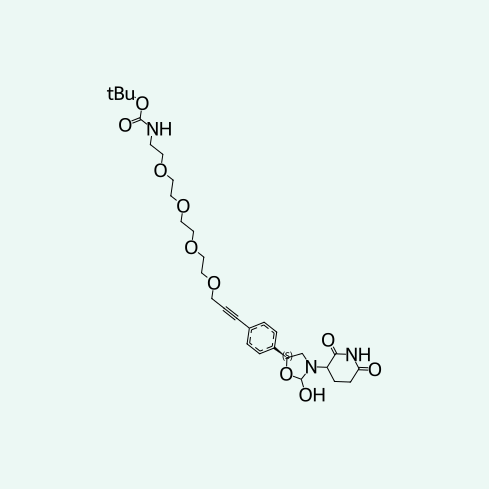 CC(C)(C)OC(=O)NCCOCCOCCOCCOCC#Cc1ccc([C@H]2CN(C3CCC(=O)NC3=O)C(O)O2)cc1